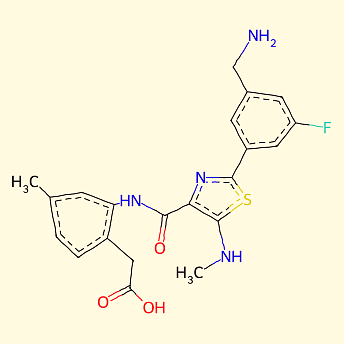 CNc1sc(-c2cc(F)cc(CN)c2)nc1C(=O)Nc1cc(C)ccc1CC(=O)O